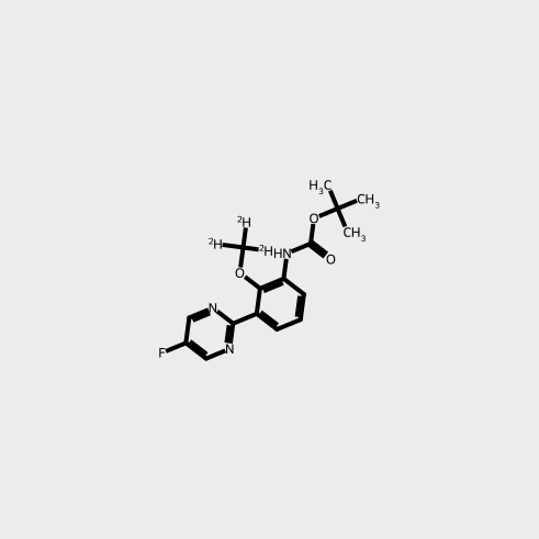 [2H]C([2H])([2H])Oc1c(NC(=O)OC(C)(C)C)cccc1-c1ncc(F)cn1